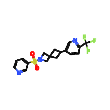 O=S(=O)(c1cccnc1)N1CC2(CC(c3ccc(C(F)(F)F)nc3)C2)C1